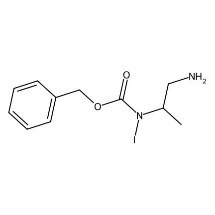 CC(CN)N(I)C(=O)OCc1ccccc1